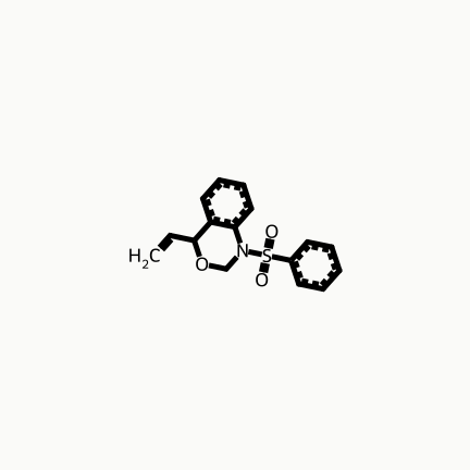 C=CC1OCN(S(=O)(=O)c2ccccc2)c2ccccc21